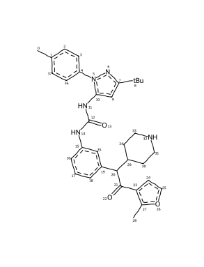 Cc1ccc(-n2nc(C(C)(C)C)cc2NC(=O)Nc2cccc(C(C(=O)c3ccoc3C)C3CCNCC3)c2)cc1